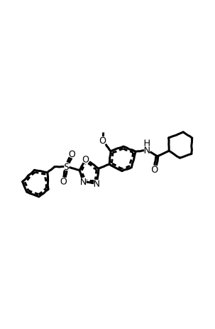 COc1cc(NC(=O)C2CCCCC2)ccc1-c1nnc(S(=O)(=O)Cc2ccccc2)o1